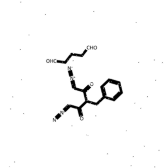 O=CCCCC=O.[N-]=[N+]=CC(=O)C(Cc1ccccc1)C(=O)C=[N+]=[N-]